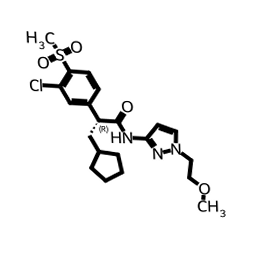 COCCn1ccc(NC(=O)[C@H](CC2CCCC2)c2ccc(S(C)(=O)=O)c(Cl)c2)n1